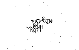 CCCc1nn(C)c2c(=O)[nH]c(-c3cc(C(=O)CN4CCN(C)CC4)ccc3OCC)nc12